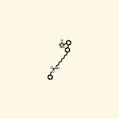 O=C(NCCCCCCCCc1ccc(-c2ccccc2-c2nnn[nH]2)cc1)OCc1ccccc1